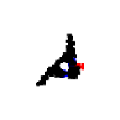 CCCCCC(C)(C)c1cc2cc3nn(nc13)-c1cccc(O)c1-n1nc3cc(cc(C(C)(C)CCCCC)c3n1)C2